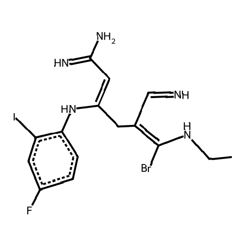 CCN/C(Br)=C(\C=N)C/C(=C/C(=N)N)Nc1ccc(F)cc1I